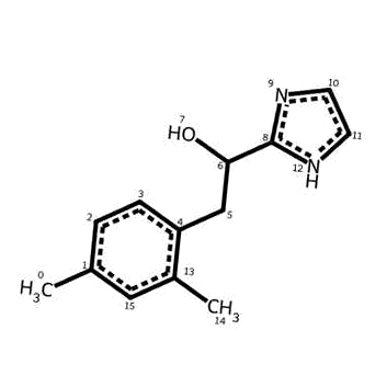 Cc1ccc(CC(O)c2ncc[nH]2)c(C)c1